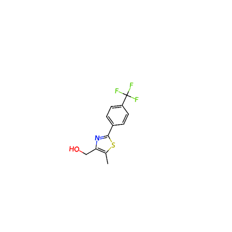 Cc1sc(-c2ccc(C(F)(F)F)cc2)nc1CO